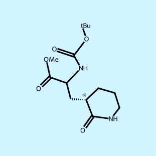 COC(=O)C(C[C@@H]1CCCNC1=O)NC(=O)OC(C)(C)C